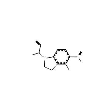 CC(C=O)N1CCc2c1ccc([N+](=O)[O-])c2F